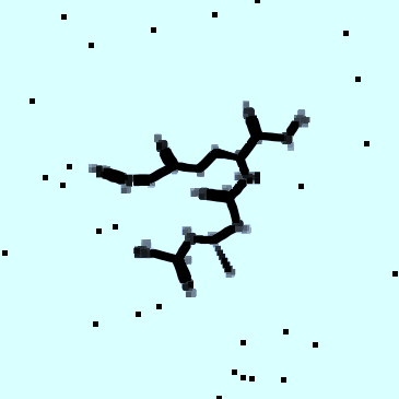 CC(C)OC(=O)[C@H](CCC(=O)C=[N+]=[N-])NC(=O)O[C@H](C)OC(=O)C(C)(C)C